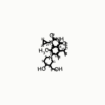 Cc1c(N2CCC(O)C(CO)C2)c(F)c(C(F)F)c2c(=O)[nH]c(=O)n(C3CC3)c12